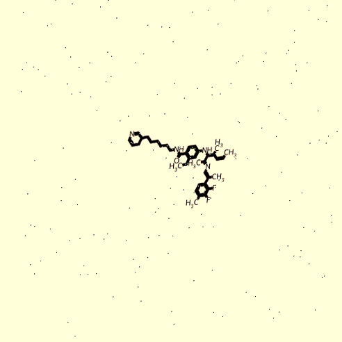 C\C=C/C(C)=C(Nc1ccc(C(=O)NCCCCCCC2C=NC=CC2)c(CC)c1)\C(C)=N\C=C(/C)c1ccc(C)c(F)c1F